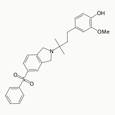 COc1cc(CCC(C)(C)N2Cc3ccc(S(=O)(=O)c4ccccc4)cc3C2)ccc1O